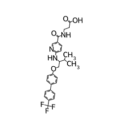 CC(C)C(COc1ccc(-c2ccc(C(F)(F)F)cc2)cc1)Nc1ccc(C(=O)NCCC(=O)O)cn1